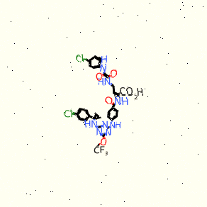 O=C(NCC[C@@H](NC(=O)c1ccc(Nc2nc(NC3(c4ccc(Cl)cc4)CC3)nc(OCC(F)(F)F)n2)cc1)C(=O)O)C(=O)Nc1ccc(Cl)cc1